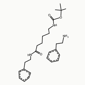 CC(C)(C)OC(=O)NCCCCCC(=O)NCCc1ccccc1.NCCc1ccccc1